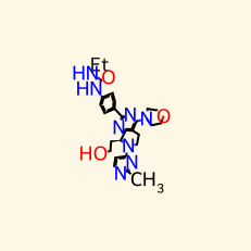 CCNC(=O)Nc1ccc(-c2nc3c(c(N4CCOCC4)n2)CCN(c2ccnc(C)n2)[C@H]3CCO)cc1